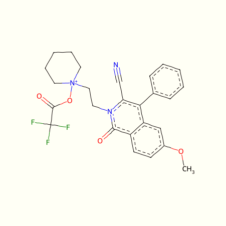 COc1ccc2c(=O)n(CC[N+]3(OC(=O)C(F)(F)F)CCCCC3)c(C#N)c(-c3ccccc3)c2c1